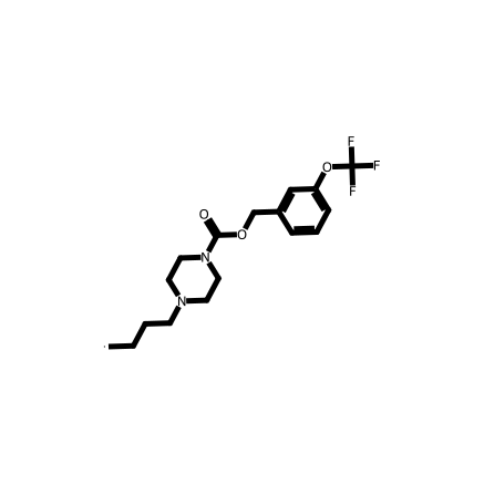 [CH2]CCCN1CCN(C(=O)OCc2cccc(OC(F)(F)F)c2)CC1